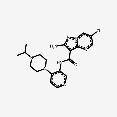 CC(C)N1CCN(c2ccncc2NC(=O)c2c(N)nn3cc(Cl)cnc23)CC1